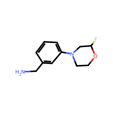 NCc1cccc(N2CCOC(F)C2)c1